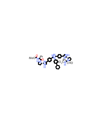 COC(=O)N[C@H](C(=O)N1CCC[C@H]1c1nc(-c2ccc(-c3nnc(-c4ccc(-c5c[nH]c([C@@H]6CCCN6[C@@](C=O)(NC(=O)O)C(C)C)n5)cc4)n3-c3ccc(C4CCCCC4)cc3)cc2)c[nH]1)C(C)C